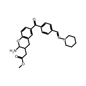 COC(=O)CC1Cc2cc(C(=O)c3ccc(C=NN4CCCCC4)cc3)ccc2OC1N